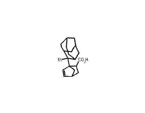 CCC1(C23C=CC(CC2C(=O)O)C3)C2CC3CC(C2)CC1C3